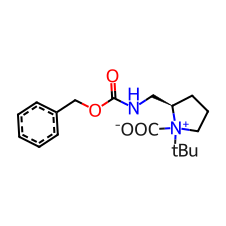 CC(C)(C)[N+]1(C(=O)[O-])CCC[C@@H]1CNC(=O)OCc1ccccc1